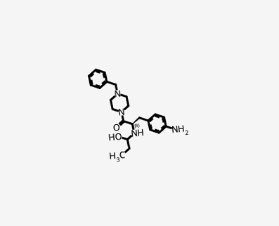 CCC(O)N[C@H](Cc1ccc(N)cc1)C(=O)N1CCN(Cc2ccccc2)CC1